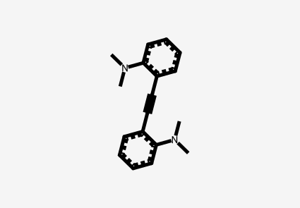 CN(C)c1ccccc1C#Cc1ccccc1N(C)C